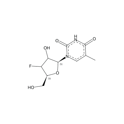 Cc1cn([C@H]2O[C@@H](CO)C(F)C2O)c(=O)[nH]c1=O